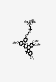 COc1ccc(C2(c3ccc(OCCOC(C)(C)CC[Si](OC(C)(C)C)(OC(C)(C)C)OC(C)(C)C)cc3)C=Cc3c4c(c5cc(OC)c(OC)cc5c3O2)-c2ccc(C(F)(F)F)cc2C4(C)C)cc1